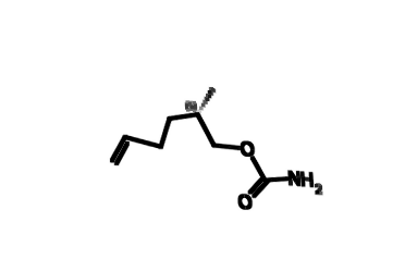 C=CCC[C@H](C)COC(N)=O